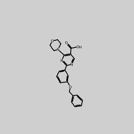 O=C(O)c1cnc(-c2cccc(OCc3ccccc3)c2)nc1N1CCOCC1